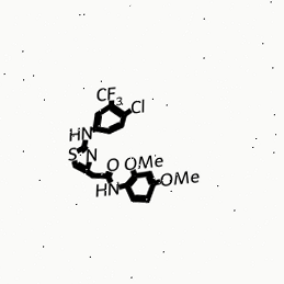 COc1ccc(NC(=O)Cc2csc(Nc3ccc(Cl)c(C(F)(F)F)c3)n2)c(OC)c1